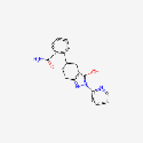 NC(=O)c1ccccc1C1CCc2nn(-c3ccccn3)c(O)c2C1